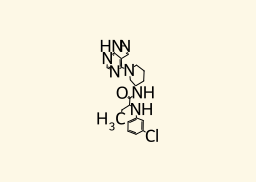 CCC(Nc1cccc(Cl)c1)C(=O)NC1CCCN(c2ncnc3[nH]ncc23)C1